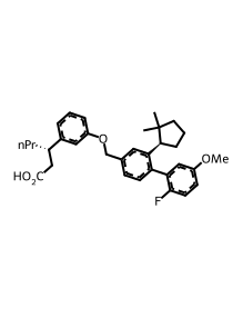 CCC[C@@H](CC(=O)O)c1cccc(OCc2ccc(-c3cc(OC)ccc3F)c([C@@H]3CCCC3(C)C)c2)c1